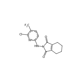 O=C1C2=C(CCCC2)C(=O)N1Nc1ccc(C(F)(F)F)c(Cl)n1